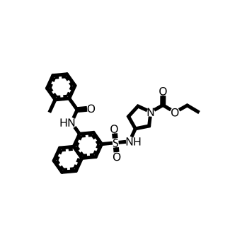 CCOC(=O)N1CCC(NS(=O)(=O)c2cc(NC(=O)c3ccccc3C)c3ccccc3c2)C1